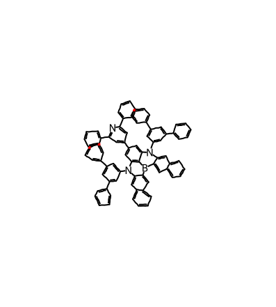 c1ccc(-c2cc(-c3ccccc3)cc(N3c4cc5ccccc5cc4B4c5cc6ccccc6cc5N(c5cc(-c6ccccc6)cc(-c6ccccc6)c5)c5cc(-c6cc(-c7ccccc7)nc(-c7ccccc7)c6)cc3c54)c2)cc1